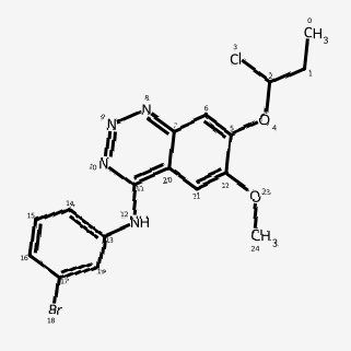 CCC(Cl)Oc1cc2nnnc(Nc3cccc(Br)c3)c2cc1OC